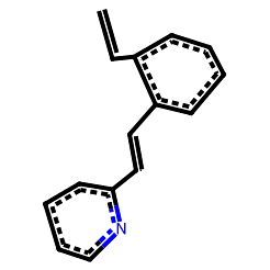 [CH]=Cc1ccccc1C=[C]c1ccccn1